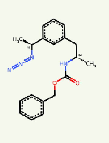 C[C@H](N=[N+]=[N-])c1cccc(C[C@H](C)NC(=O)OCc2ccccc2)c1